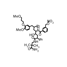 COCCCOc1cc(CC(CC(NC(=O)c2cccc(CO[N+](=O)[O-])c2)C(O)CC(C(=O)NCC(C)(C)C(N)=O)C(C)C)C(C)C)ccc1OC